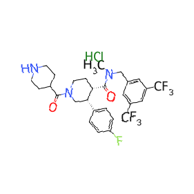 CN(Cc1cc(C(F)(F)F)cc(C(F)(F)F)c1)C(=O)[C@H]1CCN(C(=O)C2CCNCC2)C[C@H]1c1ccc(F)cc1.Cl